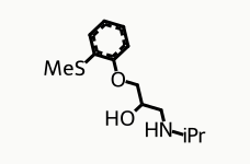 CSc1ccccc1OCC(O)CNC(C)C